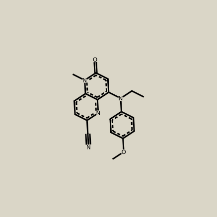 CCN(c1ccc(OC)cc1)c1cc(=O)n(C)c2ccc(C#N)nc12